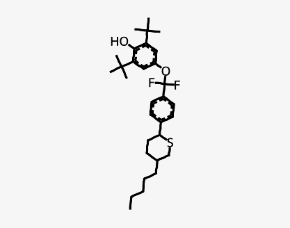 CCCCCC1CCC(c2ccc(C(F)(F)Oc3cc(C(C)(C)C)c(O)c(C(C)(C)C)c3)cc2)SC1